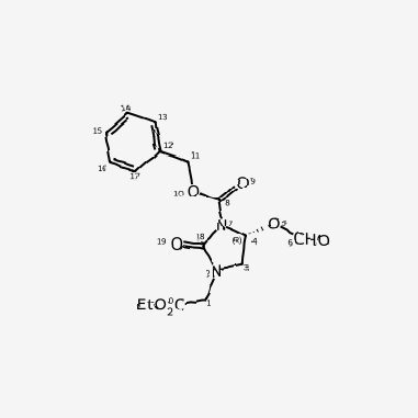 CCOC(=O)CN1C[C@@H](OC=O)N(C(=O)OCc2ccccc2)C1=O